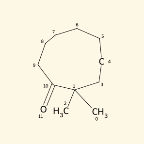 CC1(C)CCCCCCCC1=O